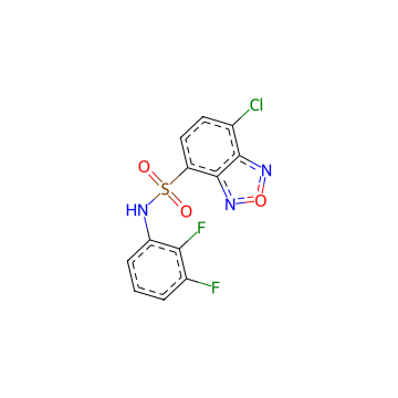 O=S(=O)(Nc1cccc(F)c1F)c1ccc(Cl)c2nonc12